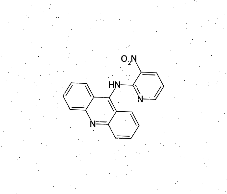 O=[N+]([O-])c1cccnc1Nc1c2ccccc2nc2ccccc12